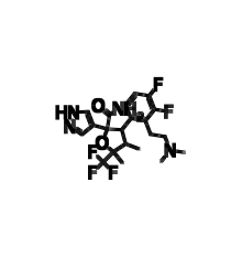 CC1C(c2ccc(F)c(F)c2CCN(C)C)C(C(N)=O)(c2cn[nH]c2)OC1(C)C(F)(F)F